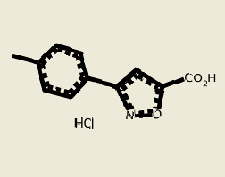 Cc1ccc(-c2cc(C(=O)O)on2)cc1.Cl